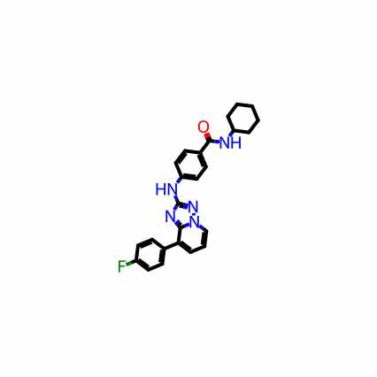 O=C(NC1CCCCC1)c1ccc(Nc2nc3c(-c4ccc(F)cc4)cccn3n2)cc1